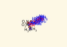 CN(C)c1ccc(CN(c2ccc([N+](=O)[O-])cc2[N+](=O)[O-])C(O)C(=O)NC(C(=O)NC(NC(=N)N)C(=O)NC(NC(=N)N)C(=O)NC(NC(=N)N)C(=O)NC(NC(=N)N)C(N)=O)c2ccccc2)cc1